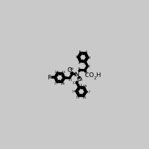 O=C(O)C(Cc1ccccc1)CN(OCc1ccccc1)C(=O)Cc1ccc(F)cc1